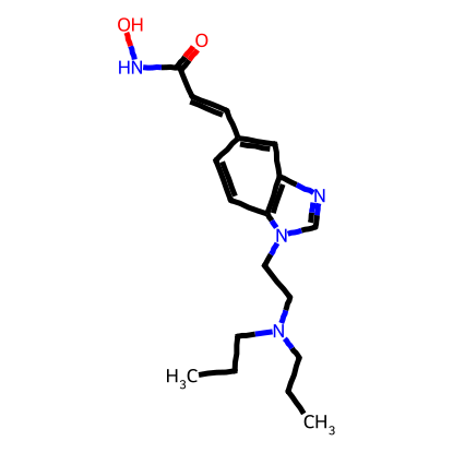 CCCN(CCC)CCn1cnc2cc(/C=C/C(=O)NO)ccc21